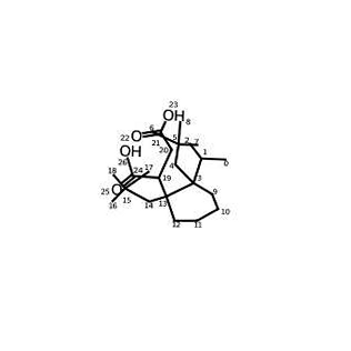 CC(C)C1(CC(C)(C)C)CCCCC1(CC(C)(C)C)C(CC(=O)O)C(=O)O